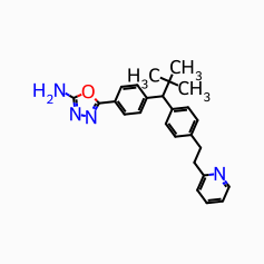 CC(C)(C)C(c1ccc(CCc2ccccn2)cc1)c1ccc(-c2nnc(N)o2)cc1